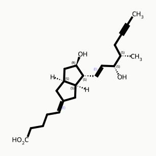 CC#CC[C@H](C)[C@H](O)/C=C/[C@@H]1[C@H]2C/C(=C/CCCC(=O)O)C[C@H]2C[C@H]1O